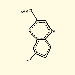 COc1cnc2ccc(C(C)C)cc2c1